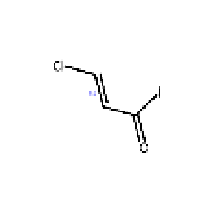 O=C(I)/C=C/Cl